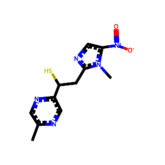 Cc1cnc(C(S)Cc2ncc([N+](=O)[O-])n2C)cn1